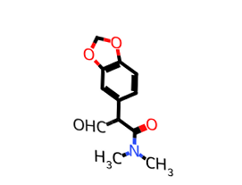 CN(C)C(=O)C(C=O)c1ccc2c(c1)OCO2